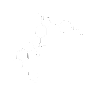 CC(C)CN1CCC(c2cn(C)c3ccc(NS(=O)(=O)c4ccc(F)c(OC5CCOC5)c4)cc23)CC1